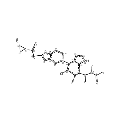 CC(=O)N(C)C(C)c1c(F)c(Cl)c(-c2cn3cc(NC(=O)[C@@H]4C[C@@H]4F)nc3cn2)c2cn[nH]c12